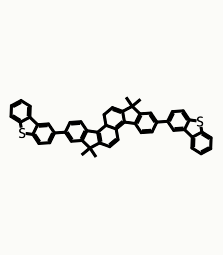 CC1(C)C2=CCC3C(=C2c2ccc(-c4ccc5sc6ccccc6c5c4)cc21)C=CC1=C3c2ccc(-c3ccc4sc5ccccc5c4c3)cc2C1(C)C